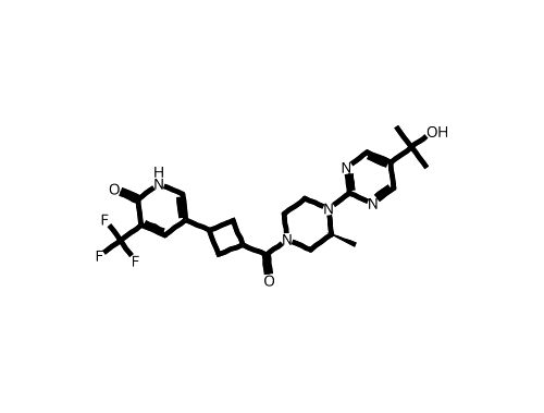 C[C@H]1CN(C(=O)C2CC(c3c[nH]c(=O)c(C(F)(F)F)c3)C2)CCN1c1ncc(C(C)(C)O)cn1